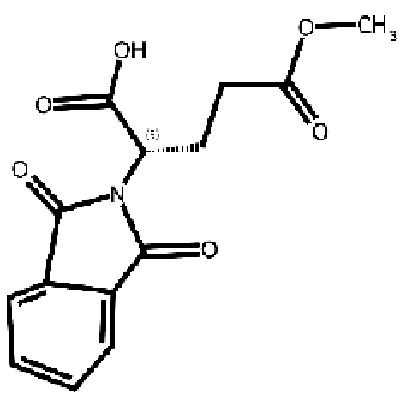 COC(=O)CC[C@@H](C(=O)O)N1C(=O)c2ccccc2C1=O